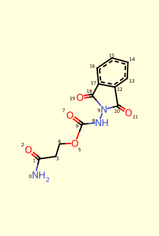 NC(=O)CCOC(=O)NN1C(=O)c2ccccc2C1=O